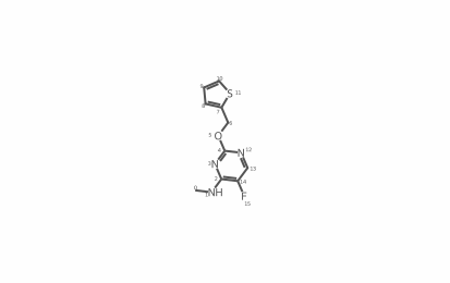 CNc1nc(OCc2cccs2)ncc1F